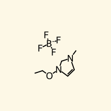 CCON1C=CN(C)C1.F[B-](F)(F)F